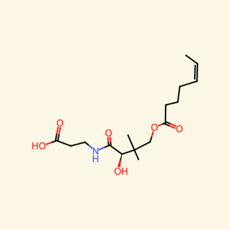 C/C=C\CCCC(=O)OCC(C)(C)[C@@H](O)C(=O)NCCC(=O)O